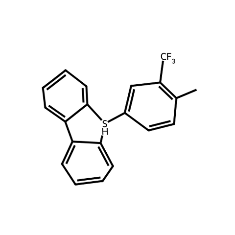 Cc1ccc([SH]2c3ccccc3-c3ccccc32)cc1C(F)(F)F